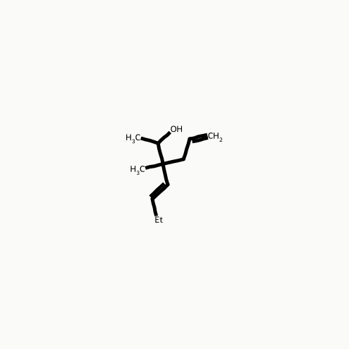 C=CCC(C)(C=CCC)C(C)O